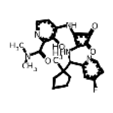 CN(C)C(=O)c1nccc(Nc2c(N[C@@H](c3cc(F)ccn3)C3(C)CCCC3)c(=O)c2=O)c1O